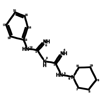 N=C(NC(=N)NN1CCCCC1)Nc1ccccc1